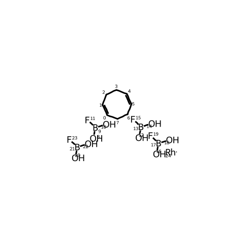 C1=CCCC=CCC1.OB(O)F.OB(O)F.OB(O)F.OB(O)F.[Rh]